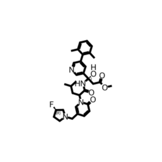 COC(=O)C[C@@](O)(NC(=O)C(CC(C)C)n1cc(CN2CC[C@@H](F)C2)ccc1=O)c1cncc(-c2c(C)cccc2C)c1